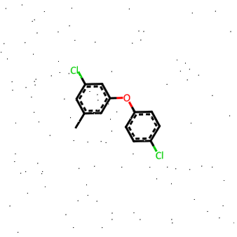 Cc1cc(Cl)cc(Oc2ccc(Cl)cc2)c1